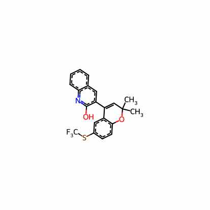 CC1(C)C=C(c2cc3ccccc3nc2O)c2cc(SC(F)(F)F)ccc2O1